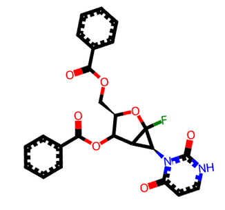 O=C(OC[C@H]1OC2(F)C(C1OC(=O)c1ccccc1)[C@@H]2n1c(=O)cc[nH]c1=O)c1ccccc1